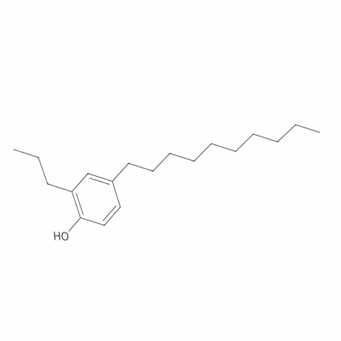 CCCCCCCCCCc1ccc(O)c(CCC)c1